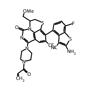 C=CC(=O)N1CCN(c2nc(=O)n3c4c(c(-c5ccc(F)c6sc(N)c(C#N)c56)c(C(F)(F)F)cc24)SCC3COC)CC1